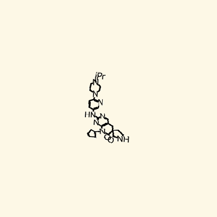 CC(C)N1CCN(c2ccc(Nc3ncc4c(n3)N(C3CCCC3)C(=O)[C@]3(CCNC3=O)C4)cn2)CC1